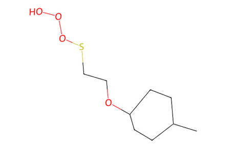 CC1CCC(OCCSOOO)CC1